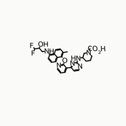 Cc1ccc2c(NCC(O)C(F)F)cccc2c1Oc1ncccc1-c1ccnc(NC2CCCN(C(=O)O)C2)n1